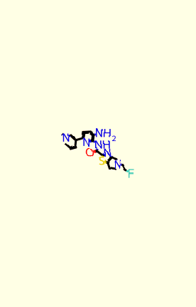 C=N/C=C(\C=C/C)c1ccc(N)c(NC(=O)c2nc3c(s2)CCN(CCF)C3)n1